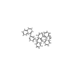 c1cc(-c2cccc3ccccc23)cc(-c2c3ccccc3c(-c3cccc4oc5ccccc5c34)c3ccccc23)c1